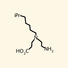 CC(C)CCCCCN(CCN)CCC(=O)O